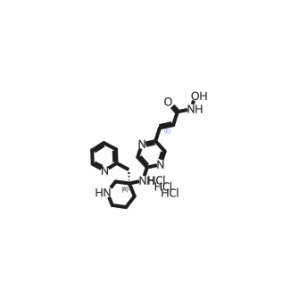 Cl.Cl.Cl.O=C(/C=C/c1cnc(N[C@@]2(Cc3ccccn3)CCCNC2)cn1)NO